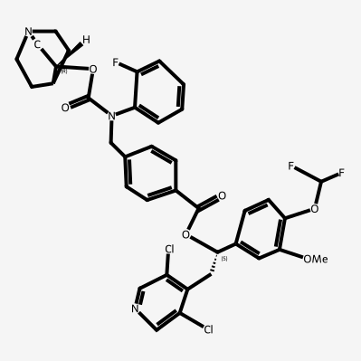 COc1cc([C@H](Cc2c(Cl)cncc2Cl)OC(=O)c2ccc(CN(C(=O)O[C@H]3CN4CCC3CC4)c3ccccc3F)cc2)ccc1OC(F)F